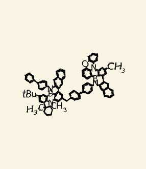 Cc1cc2c3c(c1)N1c4ccccc4Oc4cccc(c41)B3N(c1ccc(-c3ccc(Cc4cc5c6c(c4)N4c7c(cc(C(C)(C)C)cc7C7(C)CCCCC47C)B6N(c4ccc(-c6ccccc6)cc4)c4cc6ccccc6cc4-5)cc3)cc1)c1cc3ccccc3cc1-2